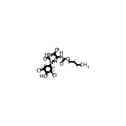 CCCCOC(=O)Nc1nn(-c2cc(Cl)c(O)c(Cl)c2)c(=O)[nH]c1=O